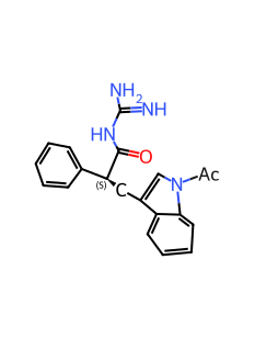 CC(=O)n1cc(C[C@H](C(=O)NC(=N)N)c2ccccc2)c2ccccc21